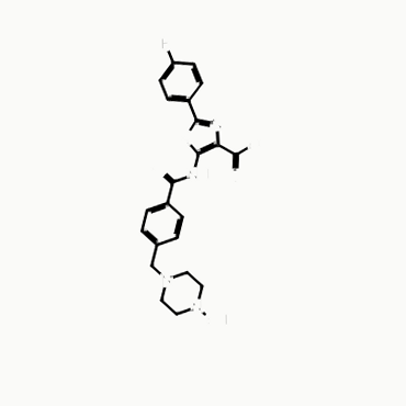 CN1CCN(Cc2ccc(C(=O)Nc3sc(-c4ccc(F)cc4)nc3C(=O)O)cc2)CC1